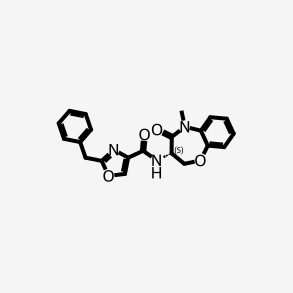 CN1C(=O)[C@@H](NC(=O)c2coc(Cc3ccccc3)n2)COc2ccccc21